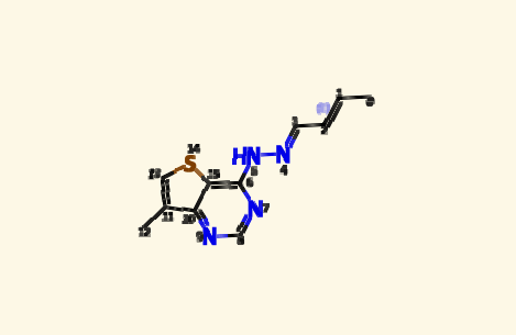 C/C=C/C=NNc1ncnc2c(C)csc12